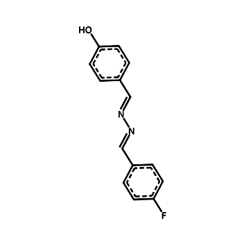 Oc1ccc(C=NN=Cc2ccc(F)cc2)cc1